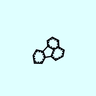 [c]1c[c]c2cccc3c2c1-c1ccccc1-3